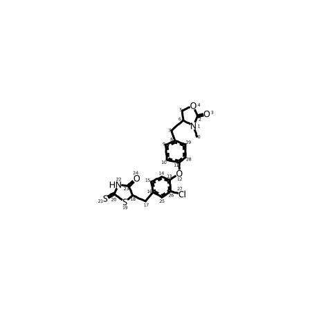 CN1C(=O)OCC1Cc1ccc(Oc2ccc(CC3SC(=S)NC3=O)cc2Cl)cc1